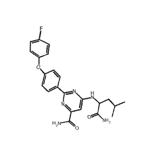 CC(C)CC(Nc1cc(C(N)=O)nc(-c2ccc(Oc3ccc(F)cc3)cc2)n1)C(N)=O